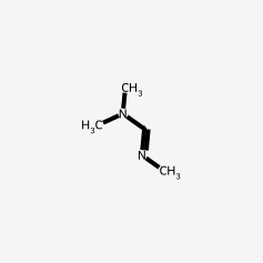 C/N=[C]/N(C)C